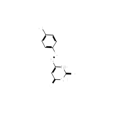 O=c1cc(N=Nc2ccc(Cl)cc2)[nH]c(=O)[nH]1